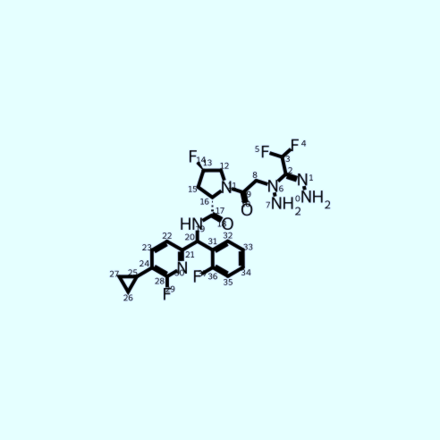 N/N=C(/C(F)F)N(N)CC(=O)N1C[C@H](F)C[C@H]1C(=O)NC(c1ccc(C2CC2)c(F)n1)c1ccccc1F